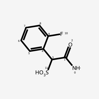 [NH]C(=O)C(c1ccccc1F)S(=O)(=O)O